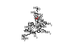 CC[C@H](C)[C@H](NC(=O)[C@H](CCCNC(=N)N)NC(=O)[C@@H](N)Cc1ccc(O)cc1)C(=O)N[C@@H](CO)C(=O)N1CCC[C@H]1C(=O)NCC(=O)N[C@@H](CCCCN)C(=O)N[C@@H](CC(N)=O)C(=O)N[C@@H](C)C(=O)N[C@H](C(=O)NCC(=O)N[C@@H](CCSC)C(=O)N[C@@H](CCC(=O)O)C(=O)O)[C@@H](C)O